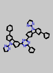 c1ccc(-c2ccc3c(c2)c2cc(-c4nc(-c5ccccc5)nc(-c5ccc6c(c5)c5cc(-c7ccccc7)ccc5n6-c5ncccn5)n4)ccc2n3-c2ncccn2)cc1